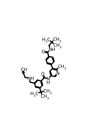 C#CCNCc1cc(C(=O)Nc2cnc(C)c(-c3ccc(C(=O)NCC(C)(C)C)cc3)c2)cc(C(C)(C)C)c1